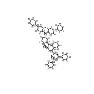 c1ccc(-c2ccc(N(c3ccc(-c4ccccc4)cc3)c3ccc4oc5cc(-c6nc(-c7ccccc7)nc(-c7ccccc7)n6)c6ccccc6c5c4c3)cc2)cc1